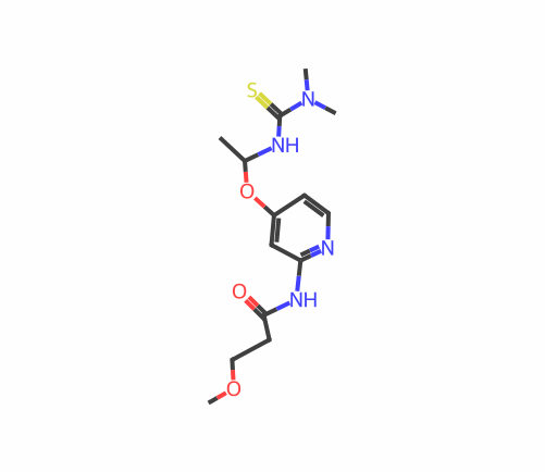 COCCC(=O)Nc1cc(OC(C)NC(=S)N(C)C)ccn1